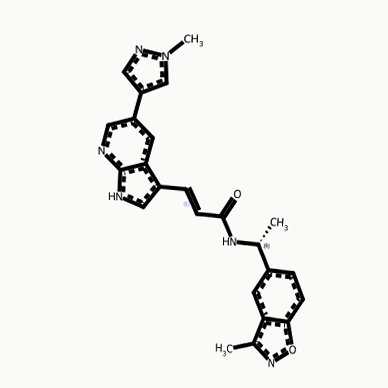 Cc1noc2ccc([C@@H](C)NC(=O)/C=C/c3c[nH]c4ncc(-c5cnn(C)c5)cc34)cc12